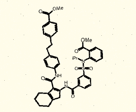 COC(=O)c1ccc(CCc2ccc(NC(=O)C3=C(NC(=O)c4cccc(S(=O)(=O)N(c5ccccc5C(=O)OC)C(C)C)c4)CC4=C3CCCC4)cc2)cc1